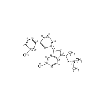 CC(CN(C)C)n1cc(-c2cncc(-c3cccc(Cl)c3)c2)c2cc(Cl)ccc21